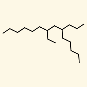 CCCCCCC([CH]C(CCC)CCCCC)CC